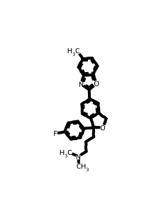 Cc1ccc2oc(-c3ccc4c(c3)COC4(CCCN(C)C)c3ccc(F)cc3)nc2c1